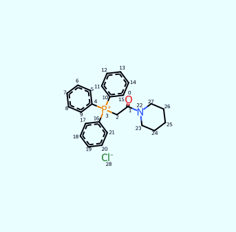 O=C(C[P+](c1ccccc1)(c1ccccc1)c1ccccc1)N1CCCCC1.[Cl-]